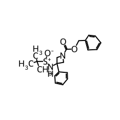 CC(C)(C)[S+]([O-])NC1(c2ccccc2)CN(C(=O)OCc2ccccc2)C1